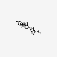 CN1CCN(S(=O)(=O)c2ccc(NC/C(=C/F)CN)cc2)CC1.Cl